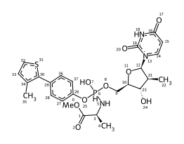 COC(=O)[C@H](C)N[PH](O)(OC[C@H]1O[C@@H](n2ccc(=O)[nH]c2=O)[C@@H](C)[C@@H]1O)Oc1ccc(-c2sccc2C)cc1